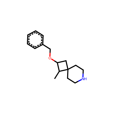 CC1C(OCc2ccccc2)CC12CCNCC2